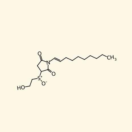 CCCCCCCCC=CN1C(=O)CC([S+]([O-])CCO)C1=O